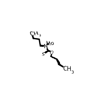 CCCCOC(=S)[N]([Mo])CCCC